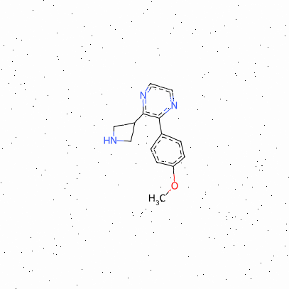 COc1ccc(-c2nccnc2C2CNC2)cc1